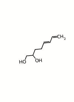 C=C/C=C/CCC(O)CO